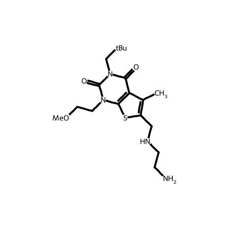 COCCn1c(=O)n(CC(C)(C)C)c(=O)c2c(C)c(CNCCN)sc21